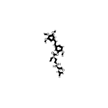 CCN(CCNN[C@H](C=O)CC(C)C)C(=O)Oc1cc(CCc2cc(OC)c(OC)c(OC)c2)ccc1OC